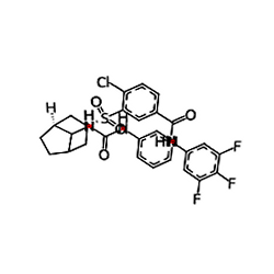 O=C(Nc1cccnc1)NC1C2CC[C@H]1C[C@H](S(=O)(=O)c1cc(C(=O)Nc3cc(F)c(F)c(F)c3)ccc1Cl)C2